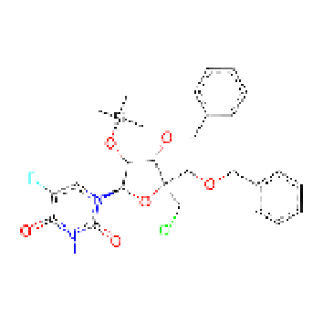 C[Si](C)(C)OC1[C@H](n2cc(F)c(=O)[nH]c2=O)O[C@](CCl)(COCc2ccccc2)[C@H]1OCc1ccccc1